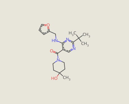 CC1(O)CCN(C(=O)c2cnc(C(C)(C)C)nc2NCc2ccco2)CC1